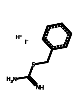 N=C(N)SCc1ccccc1.[H+].[I-]